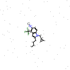 [C-]#[N+]c1ccc2c(cc(CCCC)n2CC2CC2)c1C(F)(F)F